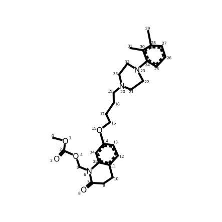 COC(=O)OCN1C(=O)CCc2ccc(OCCCCN3CCN(c4cccc(C)c4C)CC3)cc21